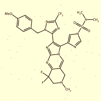 COc1ccc(Cn2nc(C(F)(F)F)nc2-c2nc3nc4c(cn3c2-c2cn(S(=O)(=O)N(C)C)cn2)CN(C)CC4(F)F)cc1